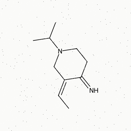 C/C=C1/CN(C(C)C)CCC1=N